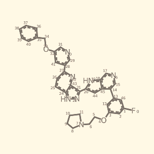 Fc1cc(OCCN2CCCC2)cc(-c2cncc3[nH]c(-c4n[nH]c5ccc(-c6cncc(OCc7ccccc7)c6)nc45)cc23)c1